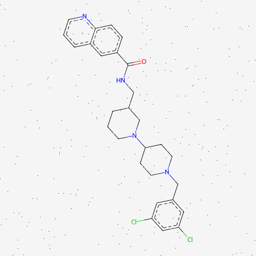 O=C(NCC1CCCN(C2CCN(Cc3cc(Cl)cc(Cl)c3)CC2)C1)c1ccc2ncccc2c1